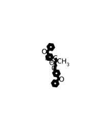 CC(C)C(COc1ccc(C(=O)c2ccccc2)cc1)Oc1ccc(C(=O)c2ccccc2)cc1